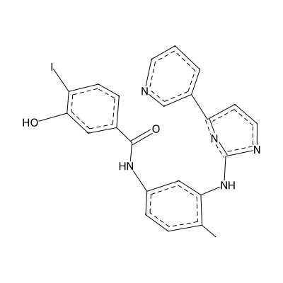 Cc1ccc(NC(=O)c2ccc(I)c(O)c2)cc1Nc1nccc(-c2cccnc2)n1